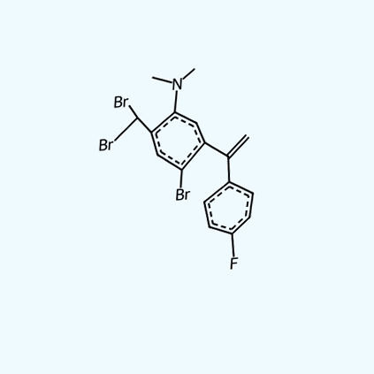 C=C(c1ccc(F)cc1)c1cc(N(C)C)c(C(Br)Br)cc1Br